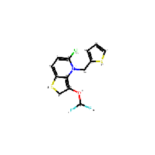 FC(F)OC1=C2C(=CC=C(Cl)N2Cc2cccs2)SC1